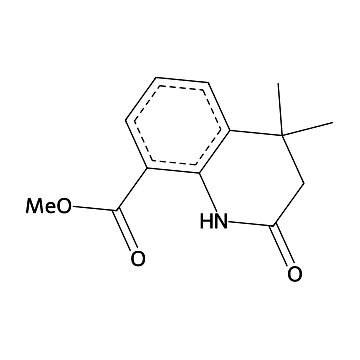 COC(=O)c1cccc2c1NC(=O)CC2(C)C